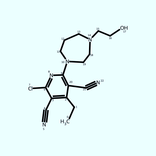 CCc1c(C#N)c(Cl)nc(N2CCCN(CCO)CC2)c1C#N